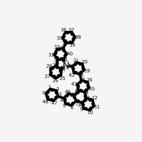 c1ccc(-c2ccc3c4ccccc4c4ccc(-c5cccc(-n6c7ccccc7c7ccc(-c8ccccc8)cc76)c5)cc4c3c2)cc1